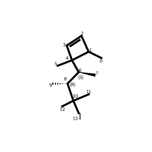 CC1C=CC1(C)[C@@H](C)[C@@H](C)C(C)(C)I